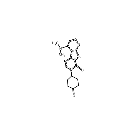 CN(C)c1ccnc2sc3c(=O)n(C4CCC(=O)CC4)cnc3c12